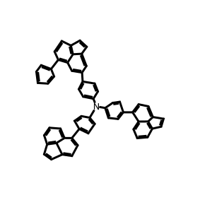 C1=Cc2ccc(-c3ccc(N(c4ccc(-c5cc6c7c(ccc(-c8ccccc8)c7c5)C=C6)cc4)c4ccc(-c5ccc6c7c(cccc57)C=C6)cc4)cc3)c3cccc1c23